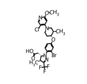 COc1cc(N2CC[C@@H](Oc3ccc(N4N=C(C(F)(F)F)[C@@H](C)[C@@H]4CC(=O)O)c(Br)c3)[C@H](C)C2)c(Cl)cn1